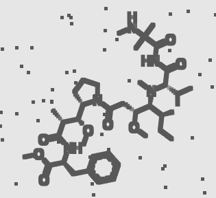 CC[C@H](C)[C@@H]([C@@H](CC(=O)N1CCC[C@H]1[C@H](OC)[C@@H](C)C(=O)N[C@@H](Cc1ccccc1)C(=O)OC)OC)N(C)[C@H](C(=O)NC(=O)C(C)(C)NC)C(C)C